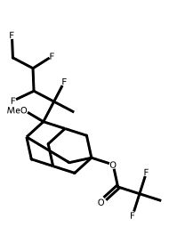 COC1(C(C)(F)C(F)C(F)CF)C2CC3CC1CC(OC(=O)C(C)(F)F)(C3)C2